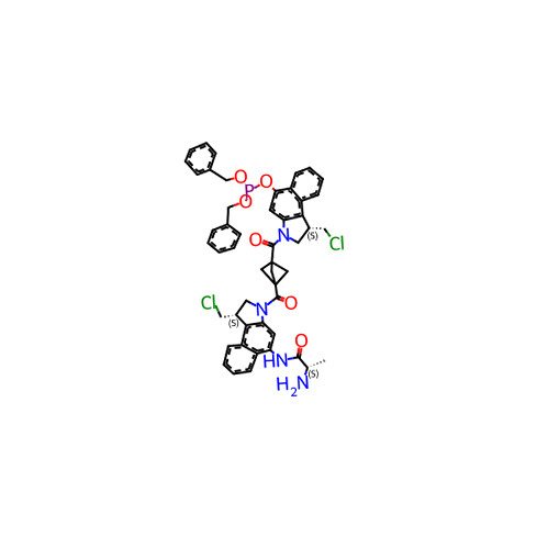 C[C@H](N)C(=O)Nc1cc2c(c3ccccc13)[C@H](CCl)CN2C(=O)C12CC(C(=O)N3C[C@@H](CCl)c4c3cc(OP(OCc3ccccc3)OCc3ccccc3)c3ccccc43)(C1)C2